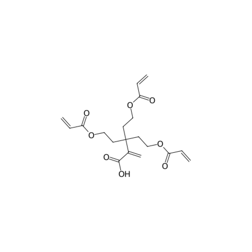 C=CC(=O)OCCC(CCOC(=O)C=C)(CCOC(=O)C=C)C(=C)C(=O)O